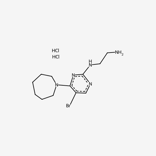 Cl.Cl.NCCNc1ncc(Br)c(N2CCCCCC2)n1